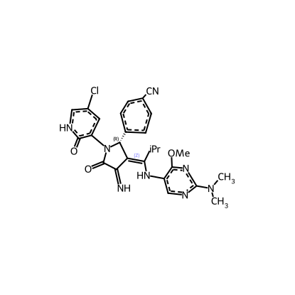 COc1nc(N(C)C)ncc1N/C(=C1\C(=N)C(=O)N(c2cc(Cl)c[nH]c2=O)[C@@H]1c1ccc(C#N)cc1)C(C)C